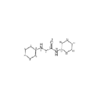 O=C(CNC1CCCCC1)NC1CCCCC1